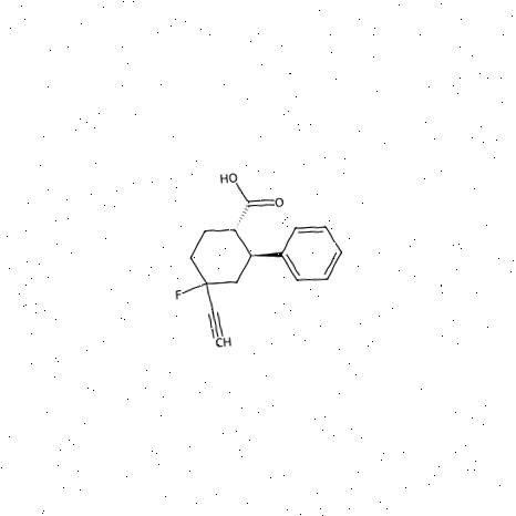 C#CC1(F)CC[C@H](C(=O)O)[C@@H](c2ccccc2)C1